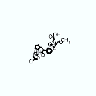 COCCN(CCC(=O)O)S(=O)(=O)c1cccc([C@@H](CC2CCCC2)C(=O)Nc2ncc(Cl)cn2)c1